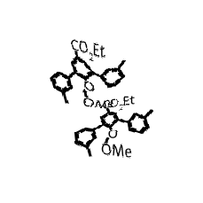 CCOC(=O)c1cc(-c2cccc(C)c2)c(OCOC)c(-c2cccc(C)c2)c1.CCOC(=O)c1cc(-c2cccc(C)c2)c(OCOC)c(-c2cccc(C)c2)c1